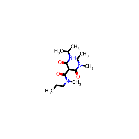 CCCN(C)C(=O)[C](C(=O)NC(C)C)C(=O)N(C)CC